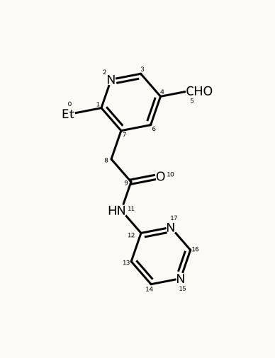 CCc1ncc(C=O)cc1CC(=O)Nc1ccncn1